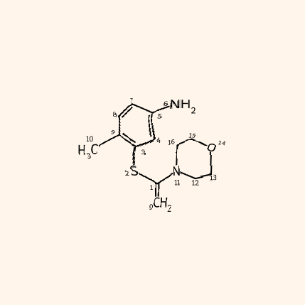 C=C(Sc1cc(N)ccc1C)N1CCOCC1